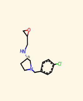 Clc1ccc(CN2CC[C@H](NCC3CO3)C2)cc1